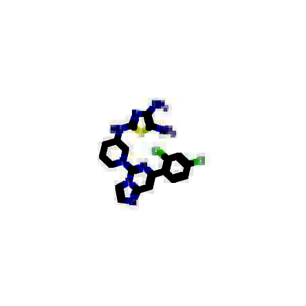 Nc1nc(NC2CCCN(c3nc(-c4ccc(Cl)cc4Cl)cc4nccn34)C2)sc1N